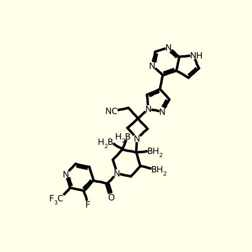 BC1CN(C(=O)c2ccnc(C(F)(F)F)c2F)CC(B)(B)C1(B)N1CC(CC#N)(n2cc(-c3ncnc4[nH]ccc34)cn2)C1